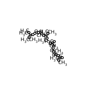 Cc1ccc(C)c(N(c2ccc3cc4c(cc3c2)oc2cc3oc5cc6cc(N(c7ccccc7C)c7cc(CCc8ccc(N(c9ccc(C)c(C)c9)c9ccc%10cc%11c(cc%10c9)oc9cc%10oc%12cc%13cc(N(c%14ccc(C)c(C)c%14)c%14ccc(C)c(C)c%14)ccc%13cc%12c%10c(C)c9%11)cc8C)ccc7C)ccc6cc5c3c(C)c24)c2ccccc2C)c1